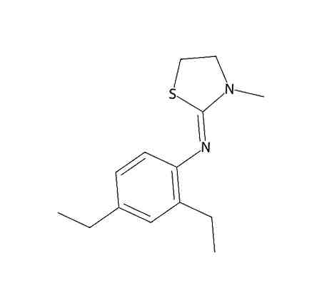 CCc1ccc(N=C2SCCN2C)c(CC)c1